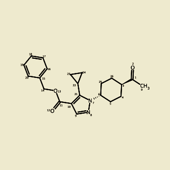 CC(=O)[C@H]1CC[C@H](n2ncc(C(=O)OCc3ccccc3)c2C2CC2)CC1